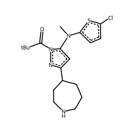 CN(c1ccc(Cl)s1)c1cc(C2CCCNCC2)nn1C(=O)C(C)(C)C